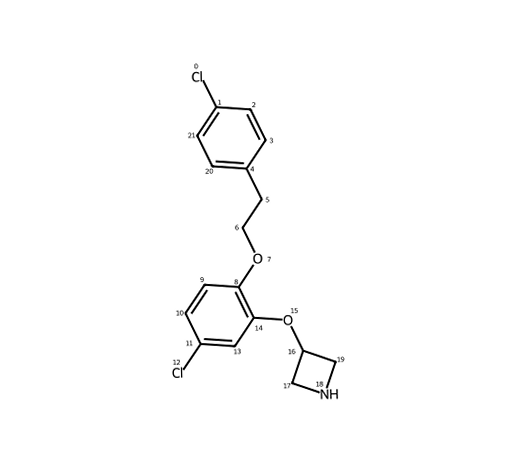 Clc1ccc(CCOc2ccc(Cl)cc2OC2CNC2)cc1